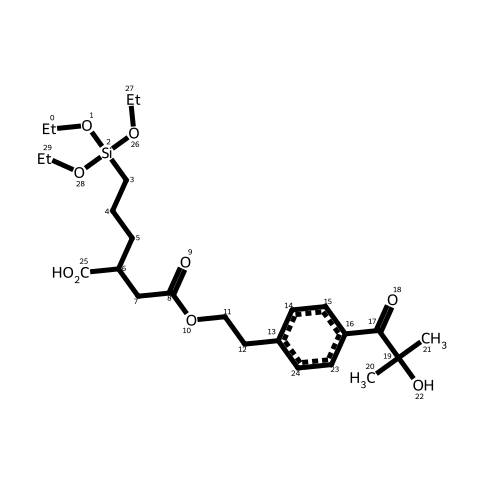 CCO[Si](CCCC(CC(=O)OCCc1ccc(C(=O)C(C)(C)O)cc1)C(=O)O)(OCC)OCC